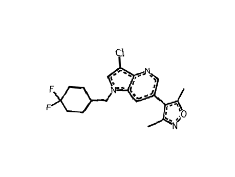 Cc1noc(C)c1-c1cnc2c(Cl)cn(CC3CCC(F)(F)CC3)c2c1